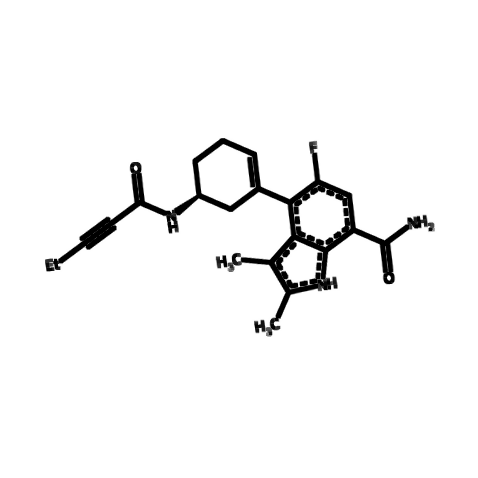 CCC#CC(=O)N[C@H]1CCC=C(c2c(F)cc(C(N)=O)c3[nH]c(C)c(C)c23)C1